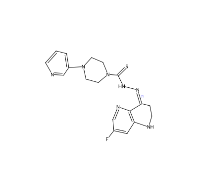 Fc1cnc2c(c1)NCC/C2=N/NC(=S)N1CCN(c2cccnc2)CC1